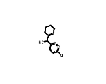 N#CC(C1=CCCCC1)c1ccc(Cl)nn1